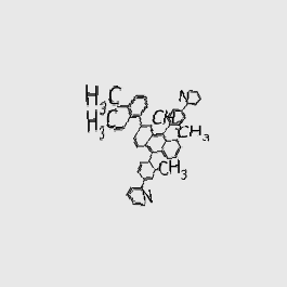 C/C=C\c1c(CC)cccc1C1C=CC2=C(C3C=CC(c4ccccn4)=CC3C)C3=CC=CC(C)C3C(c3ccc(-c4ccccn4)cc3)=C2C1C